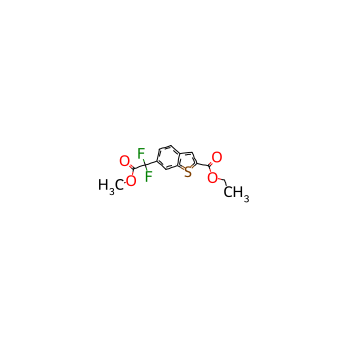 CCOC(=O)c1cc2ccc(C(F)(F)C(=O)OC)cc2s1